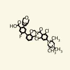 C[C@H]1CN(c2cc(Cl)c(C(=O)N3COc4c(cccc4-c4cc(N5C6CCC5COC6)c(C(=O)O)cc4F)C3)c(Cl)c2)[C@@H](C)CN1C